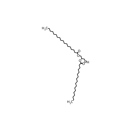 [2H]OCC(COC(=O)CCCCCCCCCCCCCCCCC)OC(=O)CCCCCCCCCCCCCCCCC